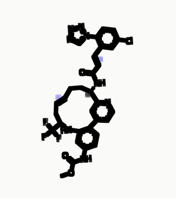 COC(=O)Nc1ccc2c(c1)NC(C(F)(F)F)C/C=C/CC[C@H](NC(=O)/C=C/c1cc(Cl)ccc1-n1cnnn1)c1cc-2ccn1